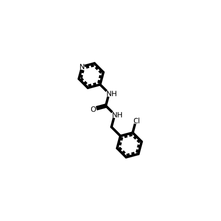 O=C(NCc1ccccc1Cl)Nc1ccncc1